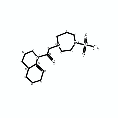 CS(=O)(=O)N1CCCN(CC(=O)N2CCCC3CCCC=C32)CC1